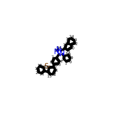 c1ccc(-n2c(-c3ccc(-c4cccc5c4sc4ccccc45)cc3)nnc2-c2ccc3ccccc3c2)cc1